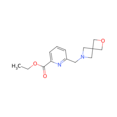 CCOC(=O)c1cccc(CN2CC3(COC3)C2)n1